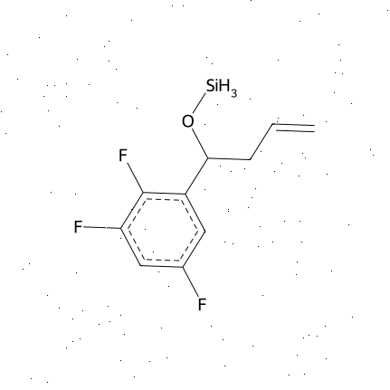 C=CCC(O[SiH3])c1cc(F)cc(F)c1F